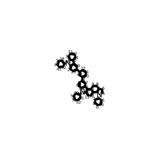 c1ccc(-n2ccc3ccc4c(ccc5c4c4cc(-c6cccc(-c7ccc8c(c7)c7ccccc7n8-c7ccccc7)c6)ccc4n5-c4ccccc4)c32)cc1